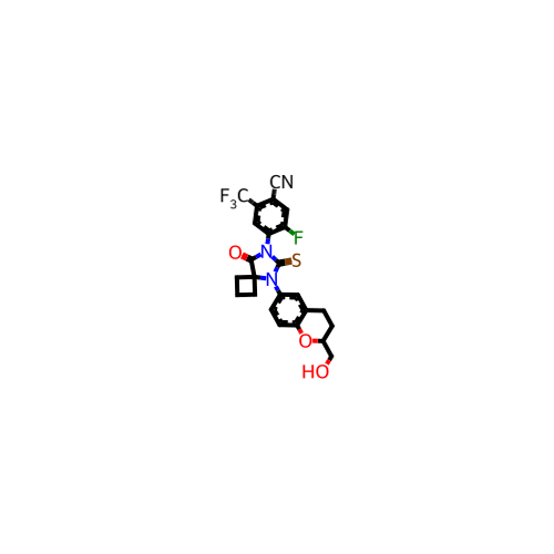 N#Cc1cc(F)c(N2C(=O)C3(CCC3)N(c3ccc4c(c3)CCC(CO)O4)C2=S)cc1C(F)(F)F